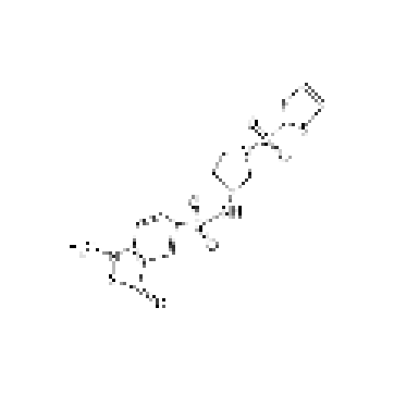 Cn1sc(=O)c2cc(S(=O)(=O)NC3CCN(S(=O)(=O)c4cccs4)C3)ccc21